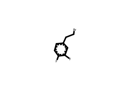 Fc1ccc(CCBr)cc1F